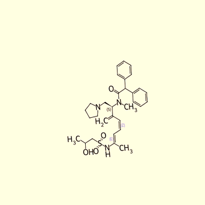 C=C(/C=C\C=C(/C)NS(=O)(=O)CC(C)O)[C@@H](CN1CCCC1)N(C)C(=O)C(c1ccccc1)c1ccccc1